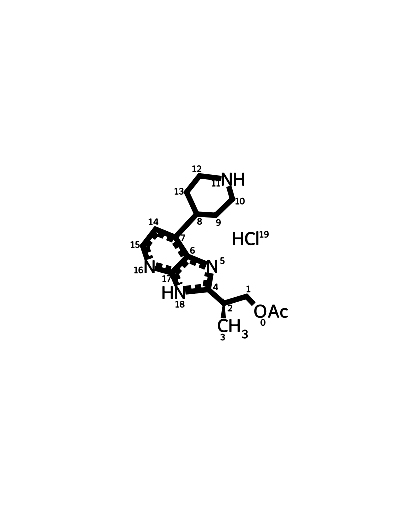 CC(=O)OC[C@@H](C)c1nc2c(C3CCNCC3)ccnc2[nH]1.Cl